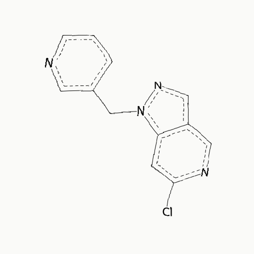 Clc1cc2c(cn1)cnn2Cc1cccnc1